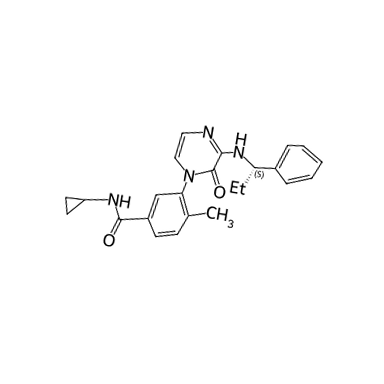 CC[C@H](Nc1nccn(-c2cc(C(=O)NC3CC3)ccc2C)c1=O)c1ccccc1